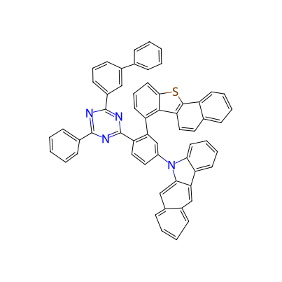 c1ccc(-c2cccc(-c3nc(-c4ccccc4)nc(-c4ccc(-n5c6ccccc6c6cc7ccccc7cc65)cc4-c4cccc5sc6c7ccccc7ccc6c45)n3)c2)cc1